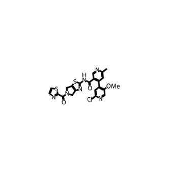 COc1cnc(Cl)cc1-c1cc(C)ncc1C(=O)Nc1nc2c(s1)CN(C(=O)c1nccs1)C2